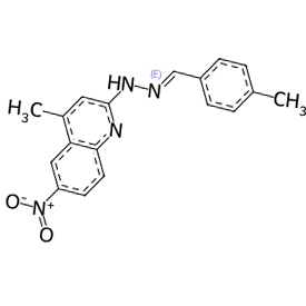 Cc1ccc(/C=N/Nc2cc(C)c3cc([N+](=O)[O-])ccc3n2)cc1